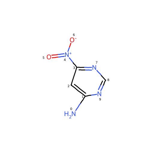 Nc1cc([N+](=O)[O-])ncn1